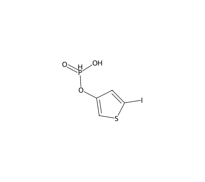 O=[PH](O)Oc1csc(I)c1